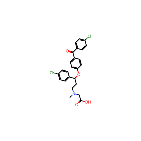 CN(CCC(Oc1ccc(C(=O)c2ccc(Cl)cc2)cc1)c1ccc(Cl)cc1)CC(=O)O